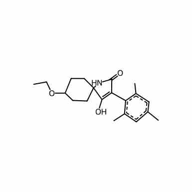 CCOC1CCC2(CC1)NC(=O)C(c1c(C)cc(C)cc1C)=C2O